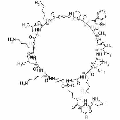 CCCC[C@@H]1NC(=O)CN(S(=O)(=O)CCCNC(=O)[C@H](CS)NC(=O)[C@@H](N)CS)CCNC(=O)[C@H](CCCCN)NC(=O)[C@H](CC(C)C)NC(=O)[C@H](CCCCN)NC(=O)[C@H](CC(C)C)NC(=O)[C@H](CCCCN)NC(=O)COC[C@H]2CCCN2C(=O)[C@H](Cc2c[nH]c3ccccc23)NC(=O)[C@H](C)NC(=O)[C@H](C(C)C)NC(=O)[C@H](C(C)C)NC1=O